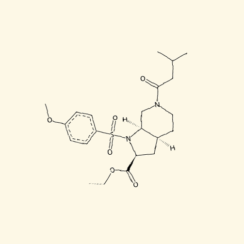 CCOC(=O)[C@@H]1C[C@@H]2CCN(C(=O)CC(C)C)C[C@@H]2N1S(=O)(=O)c1ccc(OC)cc1